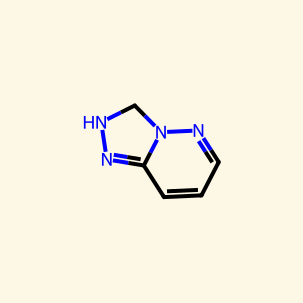 C1=CC2=NNCN2N=C1